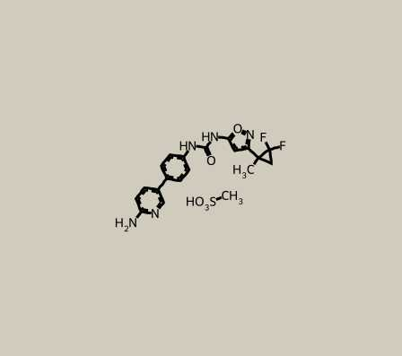 CC1(c2cc(NC(=O)Nc3ccc(-c4ccc(N)nc4)cc3)on2)CC1(F)F.CS(=O)(=O)O